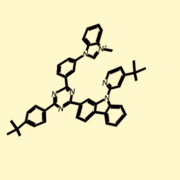 C[n+]1cn(-c2cccc(-c3nc(-c4ccc(C(C)(C)C)cc4)nc(-c4ccc5c6ccccc6n(-c6cc(C(C)(C)C)ccn6)c5c4)n3)c2)c2ccccc21